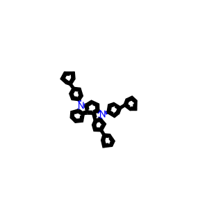 c1ccc(-c2ccc(-n3c4ccccc4c4c5c6ccc(-c7ccccc7)cc6n(-c6ccc(-c7ccccc7)cc6)c5ccc43)cc2)cc1